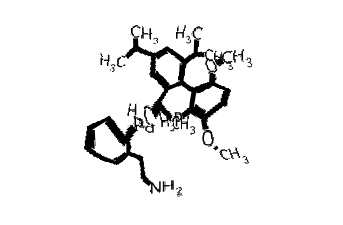 COc1ccc(OC)c(-c2c(C(C)C)cc(C(C)C)cc2C(C)C)c1P.NCCc1cccc[c]1[Pd]